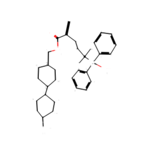 C=C(CCC(C)(C)[Si](O)(c1ccccc1)c1ccccc1)C(=O)OCC1CCC(C2CCC(CCCCC)CC2)CC1